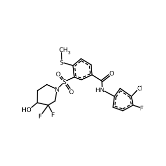 CSc1ccc(C(=O)Nc2ccc(F)c(Cl)c2)cc1S(=O)(=O)N1CCC(O)C(F)(F)C1